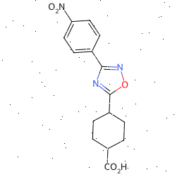 O=C(O)C1CCC(c2nc(-c3ccc([N+](=O)[O-])cc3)no2)CC1